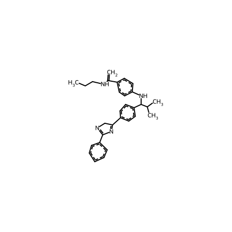 C=C(NCCC)c1ccc(NC(c2ccc(C3=NC(c4ccccc4)=NC3)cc2)C(C)C)cc1